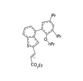 CCCOc1c(-c2cccc3sc(/C=C/C(=O)OCC)cc23)cc(C(C)C)cc1C(C)C